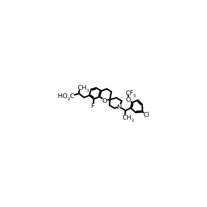 CC(Cc1ccc2c(c1F)OC1(CC2)CCN(C(C)c2cc(Cl)ccc2OC(F)(F)F)CC1)C(=O)O